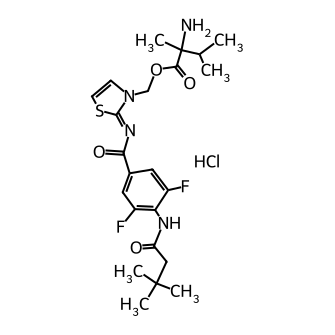 CC(C)C(C)(N)C(=O)OCn1ccsc1=NC(=O)c1cc(F)c(NC(=O)CC(C)(C)C)c(F)c1.Cl